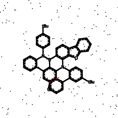 CC(C)(C)c1ccc(N2B3c4ccc5c(oc6ccccc65)c4N(c4ccc(C(C)(C)C)cc4-c4ccccc4)c4cc(C(C)(C)C)cc(c43)-c3ccccc32)cc1